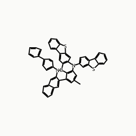 Cc1cc2c3c(c1)N(c1ccc4c(c1)sc1ccccc14)c1cc4sc5ccccc5c4cc1B3N(c1ccc(-c3ccccc3)cc1)c1cc3ccccc3cc1-2